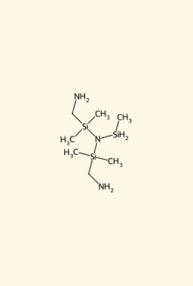 C[SiH2]N([Si](C)(C)CN)[Si](C)(C)CN